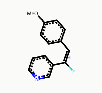 COc1ccc(/C=C(/F)c2cccnc2)cc1